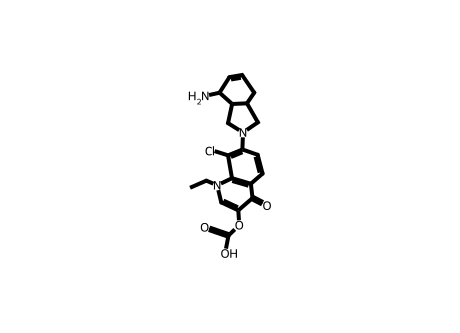 CCn1cc(OC(=O)O)c(=O)c2ccc(N3CC4CC=CC(N)C4C3)c(Cl)c21